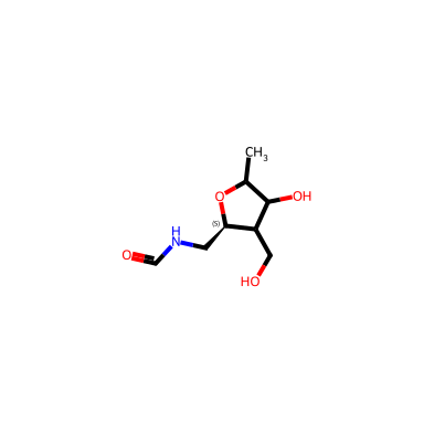 CC1O[C@H](CNC=O)C(CO)C1O